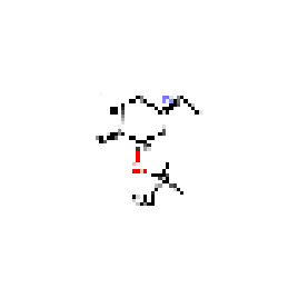 C=C1[C@H](C)C/C(=C/C)C[C@H]1O[Si](C)(C)C(C)(C)C